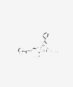 CC(C)(C)OC(=O)N[C@@H](C/C=C/CCC(=O)c1ncco1)c1nc(-c2ccc(F)cc2)cn1C(=O)OC(C)(C)C